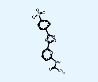 CC(=O)Nc1cccc(-c2nc(-c3ccc(S(=O)(=O)Cl)cc3)no2)n1